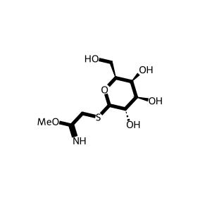 COC(=N)CSC1O[C@@H](CO)[C@@H](O)[C@@H](O)[C@@H]1O